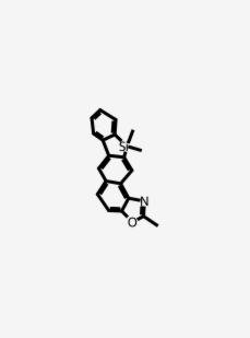 Cc1nc2c(ccc3cc4c(cc32)[Si](C)(C)c2ccccc2-4)o1